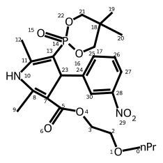 CCCOCCOC(=O)C1=C(C)NC(C)=C(P2(=O)OCC(C)(C)CO2)C1c1cccc([N+](=O)[O-])c1